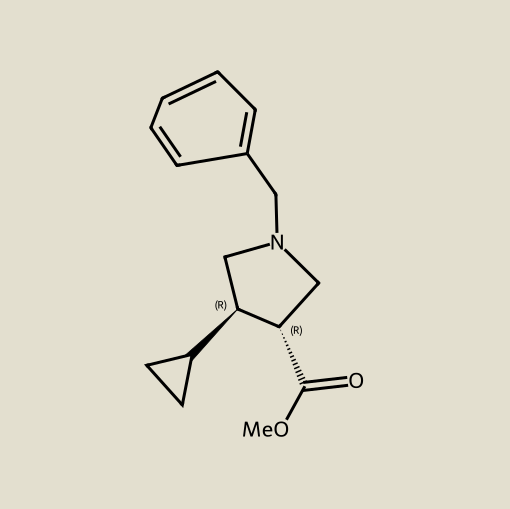 COC(=O)[C@H]1CN(Cc2ccccc2)C[C@@H]1C1CC1